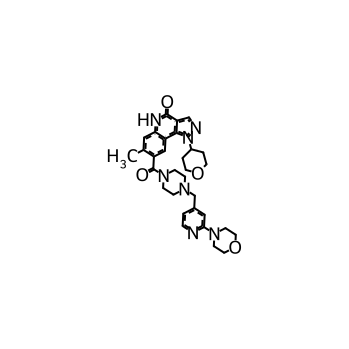 Cc1cc2[nH]c(=O)c3cnn(C4CCOCC4)c3c2cc1C(=O)N1CCN(Cc2ccnc(N3CCOCC3)c2)CC1